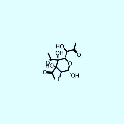 CC(=O)C(O)[C@H]1O[C@H](O)[C@@H](F)[C@](O)(C(C)=O)[C@]1(O)C(C)=O